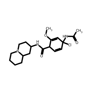 COC1=CC(Cl)(NC(C)=O)C=CC1C(=O)NC1CCN2CCCCC2C1